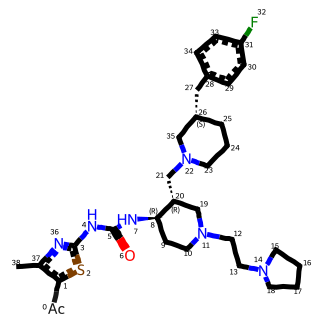 CC(=O)c1sc(NC(=O)N[C@@H]2CCN(CCN3CCCC3)C[C@H]2CN2CCC[C@@H](Cc3ccc(F)cc3)C2)nc1C